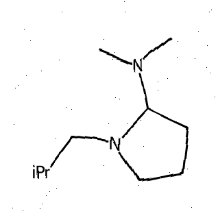 CC(C)CN1CCCC1N(C)C